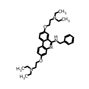 CCN(CC)CCOc1ccc2c(c1)nc(NCc1ccccc1)c1cc(OCCN(CC)CC)ccc12